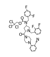 N#Cc1ccccc1N1CCN(C(=O)C2CC(N(Cc3ccc(F)cc3F)C(=O)OCC(Cl)(Cl)Cl)CN2Cc2cccc(F)c2F)CC1